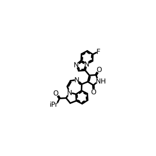 CC(C)C(=O)C1Cc2cccc3c2N1C=CN=C3C1=C(c2cnc3ccc(F)cn23)C(=O)NC1=O